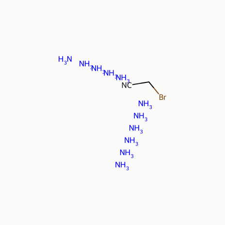 N.N.N.N.N.N.N.N.N.N.N.N#CCBr